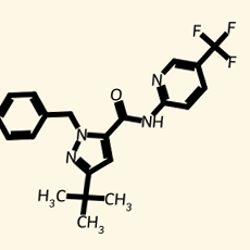 CC(C)(C)c1cc(C(=O)Nc2ccc(C(F)(F)F)cn2)n(Cc2ccccc2)n1